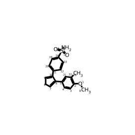 COc1ccc(C2=CCC=C2c2ccc(S(N)(=O)=O)cc2)cc1C